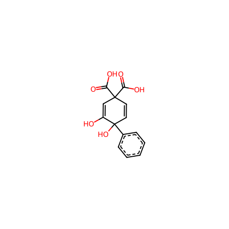 O=C(O)C1(C(=O)O)C=CC(O)(c2ccccc2)C(O)=C1